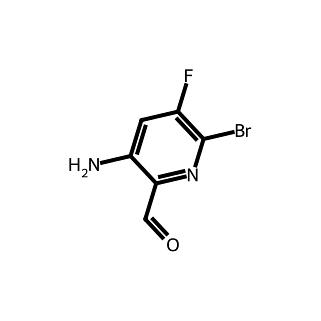 Nc1cc(F)c(Br)nc1C=O